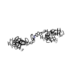 CC(C)[Si](Oc1ccc(C(=O)Oc2ccc(OC(=O)/C=C/c3ccc4c(c3)CCc3cc(OCCC(CO[Si](C)(C)C(C)(C)C)CO[Si](C)(C)C(C)(C)C)ccc3-4)cc2)cc1)(C(C)C)C(C)C